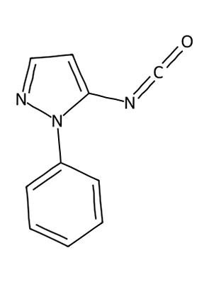 O=C=Nc1ccnn1-c1ccccc1